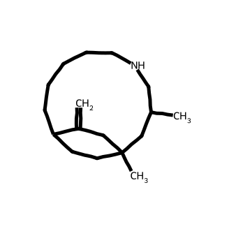 C=C1CC2(C)CCC1CCCCCNCC(C)C2